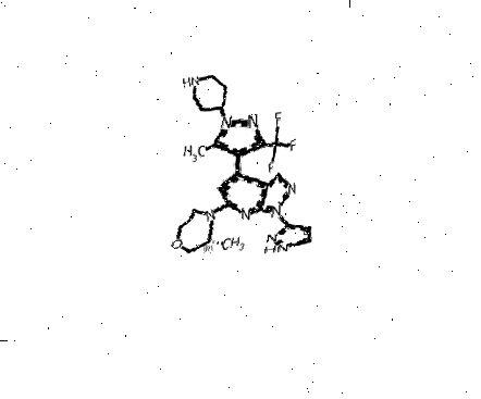 Cc1c(-c2cc(N3CCOC[C@H]3C)nc3c2cnn3-c2cc[nH]n2)c(C(F)(F)F)nn1C1CCNCC1